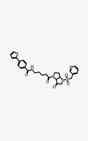 O=C(NCCCCC(=O)N1CCC2C1C(=O)CN2S(=O)(=O)Cc1cccnc1)c1ccc(-c2cccs2)cc1